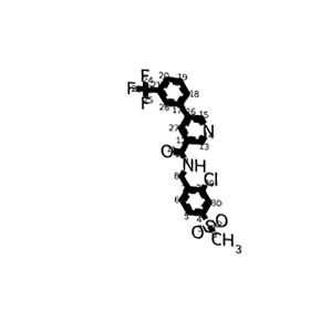 CS(=O)(=O)c1ccc(CNC(=O)c2cncc(-c3cccc(C(F)(F)F)c3)c2)c(Cl)c1